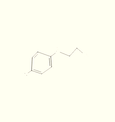 [NH]c1ccc(OCCC(=O)O)cc1